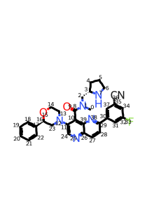 CN(C[C@@H]1CCCN1)C(=O)c1c(N2CCO[C@H](c3ccccc3)C2)cnc2ccc(-c3cc(F)cc(C#N)c3)nc12